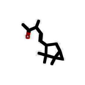 CC(=O)C(C)C=CC1CC2CC2(C)C1(C)C